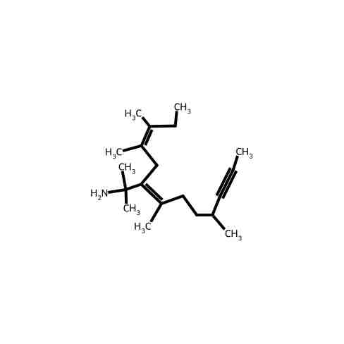 CC#CC(C)CC/C(C)=C(\C/C(C)=C(/C)CC)C(C)(C)N